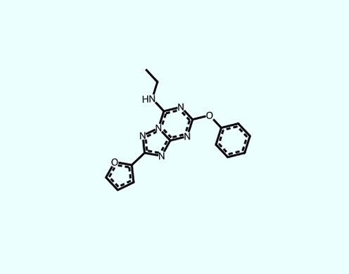 CCNc1nc(Oc2ccccc2)nc2nc(-c3ccco3)nn12